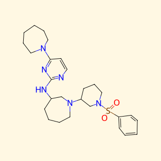 O=S(=O)(c1ccccc1)N1CCCC(N2CCCCC(Nc3nccc(N4CCCCCC4)n3)C2)C1